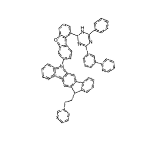 c1ccc(CCC2c3ccccc3-c3cc4c(cc32)c2ccccc2n4-c2ccc3c(c2)oc2cccc(C4N=C(c5cccc(-c6ccccc6)c5)N=C(c5ccccc5)N4)c23)cc1